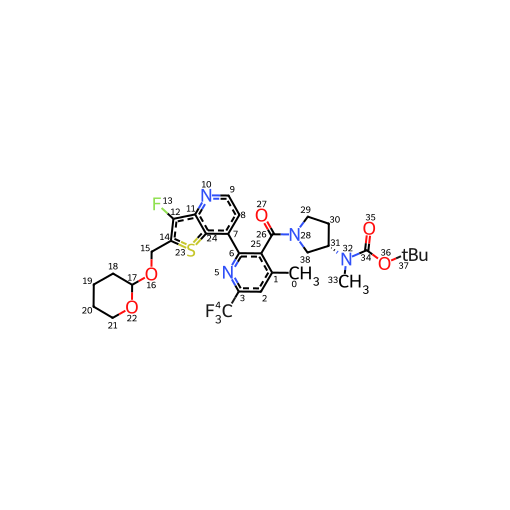 Cc1cc(C(F)(F)F)nc(-c2ccnc3c(F)c(COC4CCCCO4)sc23)c1C(=O)N1CC[C@H](N(C)C(=O)OC(C)(C)C)C1